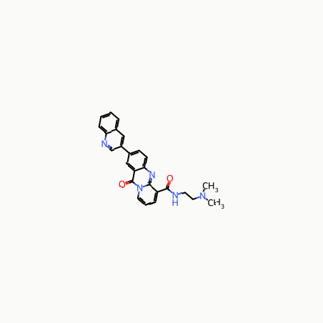 CN(C)CCNC(=O)c1cccn2c(=O)c3cc(-c4cnc5ccccc5c4)ccc3nc12